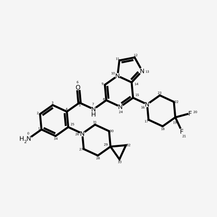 Nc1ccc(C(=O)Nc2cn3ccnc3c(N3CCC(F)(F)CC3)n2)c(N2CCC3(CC2)CC3)c1